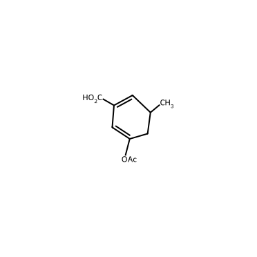 CC(=O)OC1=CC(C(=O)O)=CC(C)C1